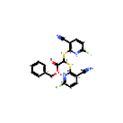 N#Cc1ccc(F)nc1SC(Sc1nc(F)ccc1C#N)C(=O)OCc1ccccc1